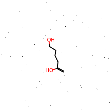 C=C(O)CCCCO